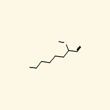 C=CC(CCCCCC)NC